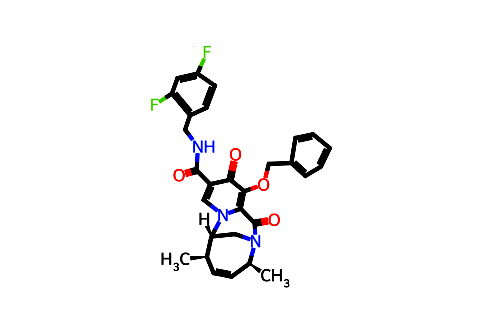 C[C@@H]1C=C[C@H](C)N2C[C@H]1n1cc(C(=O)NCc3ccc(F)cc3F)c(=O)c(OCc3ccccc3)c1C2=O